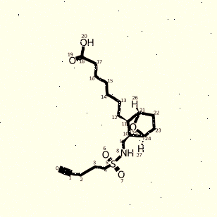 C#CCCCS(=O)(=O)NC[C@H]1[C@@H](CCCCCCC(=O)O)[C@H]2CC[C@@H]1O2